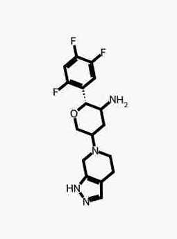 NC1CC(N2CCc3cn[nH]c3C2)CO[C@@H]1c1cc(F)c(F)cc1F